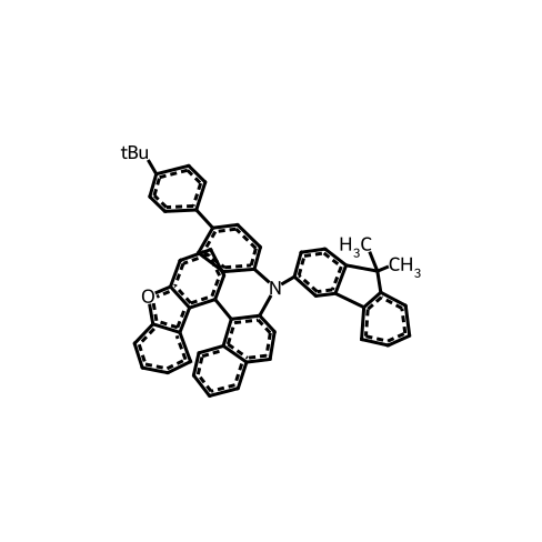 CC(C)(C)c1ccc(-c2ccc(N(c3ccc4c(c3)-c3ccccc3C4(C)C)c3ccc4ccccc4c3-c3cccc4oc5ccccc5c34)cc2)cc1